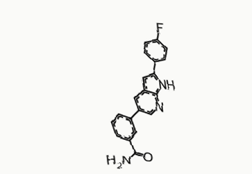 NC(=O)c1cccc(-c2cnc3[nH]c(-c4ccc(F)cc4)cc3c2)c1